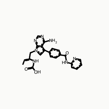 CC=C(Cn1cc(-c2ccc(C(=O)Nc3ccccn3)cc2)c2c(N)ncnc21)NC(=O)O